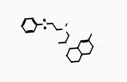 CC(=O)O[C@@H]1[CH][C@@]2(O)[C@H](C)CC[C@@H](C(C)CN(CCS(=O)(=O)c3ccccc3)C(C)C)[C@H]2C=C1C